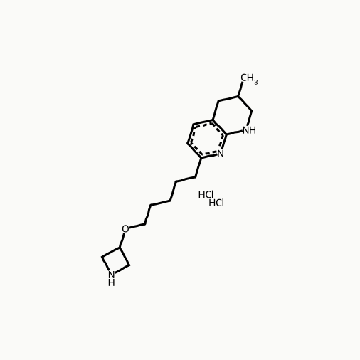 CC1CNc2nc(CCCCCOC3CNC3)ccc2C1.Cl.Cl